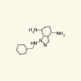 Nc1ccc(N)c2c1cnn2NCc1ccccc1